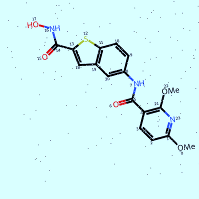 COc1ccc(C(=O)Nc2ccc3sc(C(=O)NO)cc3c2)c(OC)n1